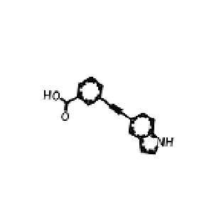 O=C(O)c1cccc(C#Cc2ccc3[nH]ccc3c2)c1